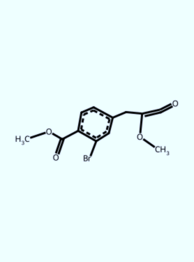 COC(=O)c1ccc(CC(=C=O)OC)cc1Br